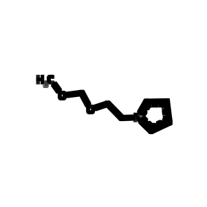 COCOCCn1cccc1